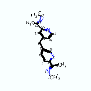 C/N=C(\C)c1ccc(Cc2ccnc(/C(C)=N/C)c2)cn1